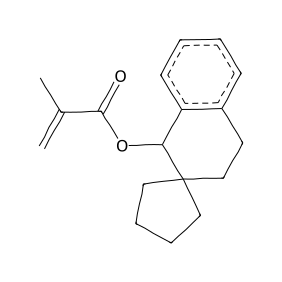 C=C(C)C(=O)OC1c2ccccc2CCC12CCCC2